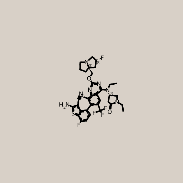 CCN1C[C@@H](N(CC)c2nc(OC[C@@]34CCCN3C[C@H](F)C4)nc3c(F)c(-c4ccc(F)c5sc(N)c(C#N)c45)c(C(F)(F)F)cc23)CC1=O